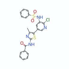 Cc1nc(NC(=O)c2ccccc2)sc1-c1cnc(Cl)c(NS(=O)(=O)c2ccccc2)c1